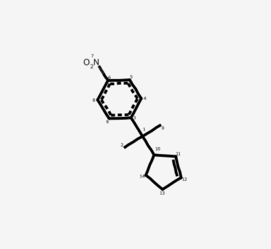 CC(C)(c1ccc([N+](=O)[O-])cc1)C1C=CCC1